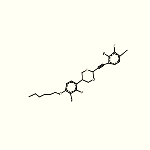 CCCCCCOc1ccc(C2COC(C#Cc3ccc(C)c(F)c3F)OC2)c(F)c1F